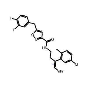 CCC/C=C(/CCNC(=O)c1noc(Cc2ccc(F)c(F)c2)n1)c1cc(Cl)ccc1C